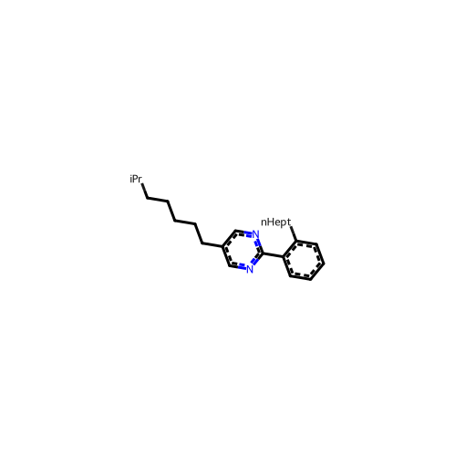 CCCCCCCc1ccccc1-c1ncc(CCCCCC(C)C)cn1